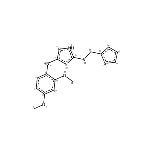 COc1ccc(Nc2n[nH]c(SCc3cccs3)n2)c(OC)c1